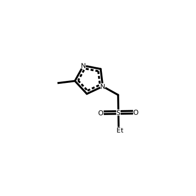 CCS(=O)(=O)Cn1cnc(C)c1